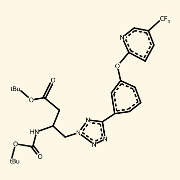 CC(C)(C)OC(=O)CC(Cn1nnc(-c2cccc(Oc3ccc(C(F)(F)F)cn3)c2)n1)NC(=O)OC(C)(C)C